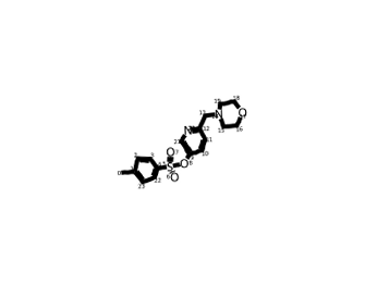 Cc1ccc(S(=O)(=O)Oc2ccc(CN3CCOCC3)nc2)cc1